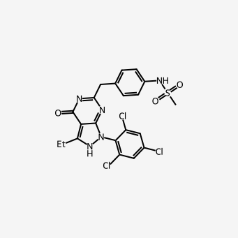 CCc1[nH]n(-c2c(Cl)cc(Cl)cc2Cl)c2nc(Cc3ccc(NS(C)(=O)=O)cc3)nc(=O)c1-2